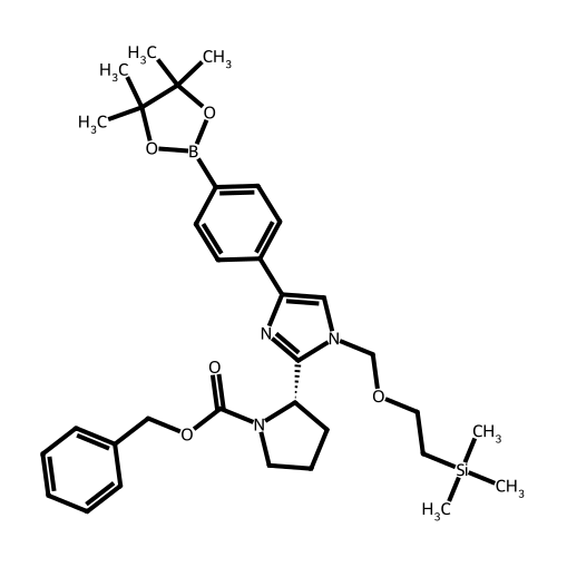 CC1(C)OB(c2ccc(-c3cn(COCC[Si](C)(C)C)c([C@@H]4CCCN4C(=O)OCc4ccccc4)n3)cc2)OC1(C)C